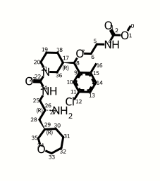 COC(=O)NCCOC(c1cc(Cl)ccc1C)[C@@H]1CCCN(C(=O)NC[C@H](N)C[C@H]2CCCCOC2)C1